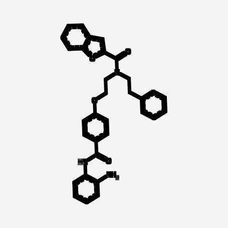 Nc1ccccc1NC(=O)c1ccc(OCCN(CCc2ccccc2)C(=O)c2cc3ccccc3o2)cc1